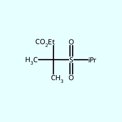 CCOC(=O)C(C)(C)S(=O)(=O)C(C)C